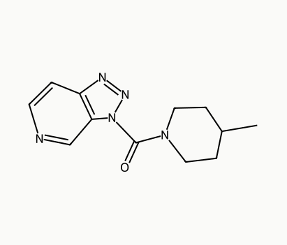 CC1CCN(C(=O)n2nnc3ccncc32)CC1